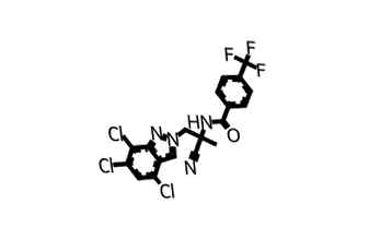 CC(C#N)(Cn1cc2c(Cl)cc(Cl)c(Cl)c2n1)NC(=O)c1ccc(C(F)(F)F)cc1